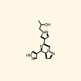 CC(O)Cn1cc(-c2cn3nccc3c(-c3cn[nH]c3)n2)cn1